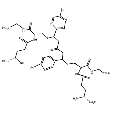 CC(=O)c1cnc(C(CC(=O)CC(SC[C@H](NC(=O)CC[C@H](N)C(=O)O)C(=O)NCC(=O)O)c2cnc(C(C)=O)cn2)SC[C@H](NC(=O)CC[C@@H](N)C(=O)O)C(=O)NCC(=O)O)cn1